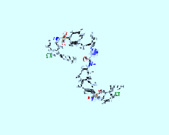 O=C(Nc1ccc2ccc(S(=O)(=O)Nc3ccc(Cl)c(C(=O)O)c3)cc2c1)Nc1ccc2ccc(S(=O)(=O)Nc3ccc(Cl)c(C(=O)O)c3)cc2c1